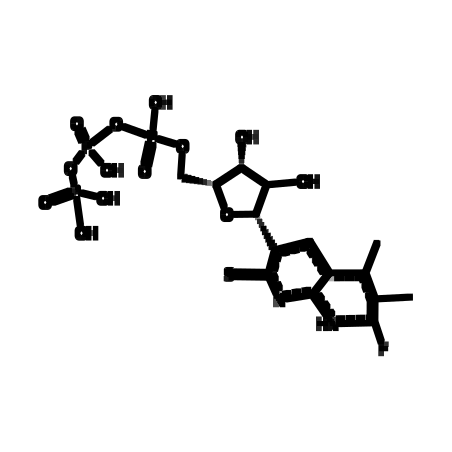 Cc1c2cc([C@@H]3O[C@H](COP(=O)(O)OP(=O)(O)OP(=O)(O)O)[C@H](O)C3O)c(=S)nc-2[nH]c(F)c1C